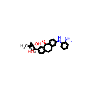 CC1(C)C[C@@]1(O)C(O)c1ccc2c(c1)C(=O)c1ccc(Nc3ccccc3N)cc1CC2